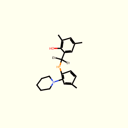 CCC(CC)(Pc1ccc(C)cc1N1CCCCC1)c1cc(C)cc(C)c1O